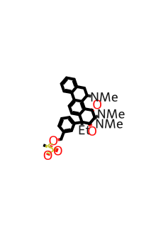 CCC1(c2cccc(COS(C)(=O)=O)c2)C(=O)C(NC)(NC)C(=O)c2c1ccc1c2C(NC)Cc2ccccc2-1